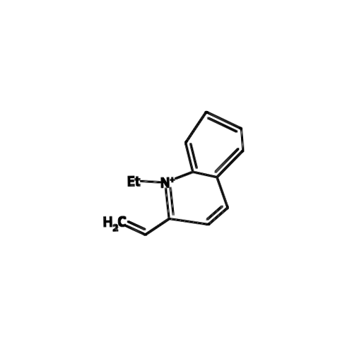 C=Cc1ccc2ccccc2[n+]1CC